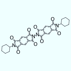 O=c1c2cc3c(=O)n(-n4c(=O)c5cc6c(=O)n(C7CCCCC7)c(=O)c6cc5c4=O)c(=O)c3cc2c(=O)n1C1CCCCC1